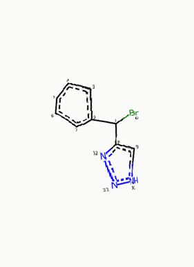 BrC(c1ccccc1)c1c[nH]nn1